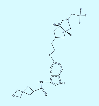 O=C(Nc1c[nH]c2ccc(OCCC3C[C@@H]4CN(CC(F)(F)F)C[C@@H]4C3)cc12)C1CC2(COC2)C1